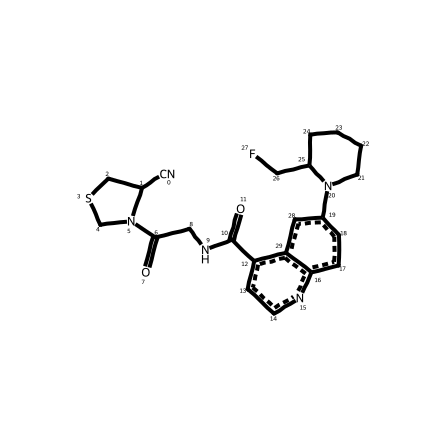 N#CC1CSCN1C(=O)CNC(=O)c1ccnc2ccc(N3CCCCC3CF)cc12